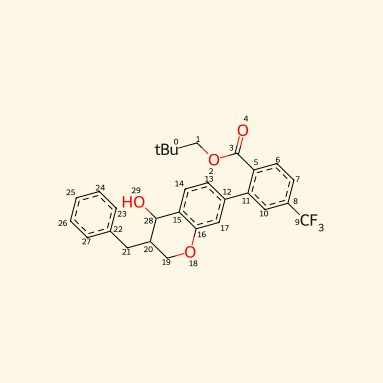 CC(C)(C)COC(=O)c1ccc(C(F)(F)F)cc1-c1ccc2c(c1)OCC(Cc1ccccc1)C2O